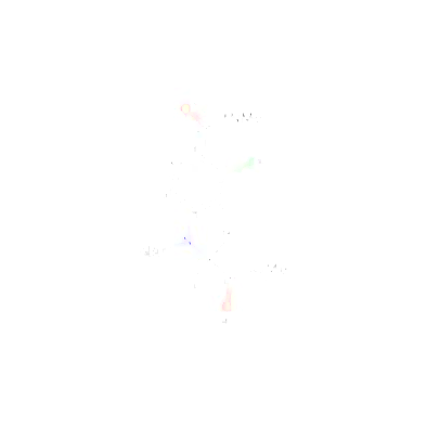 CCCCN(c1ccc(C(=O)NC)c(F)c1)C(C)(C)C(=O)OC